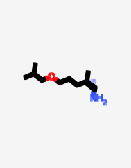 C/C(=C/N)CCCOCC(C)C